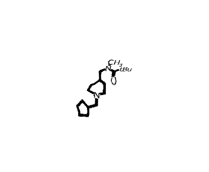 CN(CC1CCN(CC2CCCC2)CC1)C(=O)C(C)(C)C